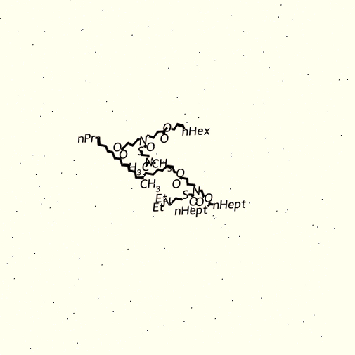 CCC/C=C/CCC(CC/C=C/CCCC(C)CCCC/C=C\COC(=O)CCCN(CC(=O)OC(CCCCCCC)CCCCCCC)C(=O)SCCCN(CC)CC)OC(=O)CCCN(CCCC(=O)OC/C=C\CCCCCC)C(=O)SCCN(C)C